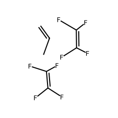 C=CC.FC(F)=C(F)F.FC(F)=C(F)F